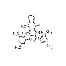 Cc1cc(C)c(Nc2ccc(Nc3c(C)cc(C)cc3C)c3c2C(=O)c2ccccc2C3O)c(C)c1